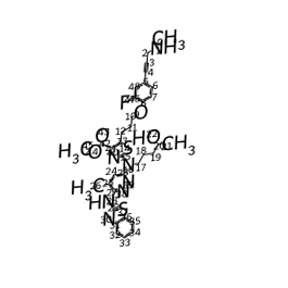 CNCC#Cc1ccc(OCCCc2sc(N(CCCC(C)O)c3cc(C)c(Nc4nc5ccccc5s4)nn3)nc2C(=O)OC)c(F)c1